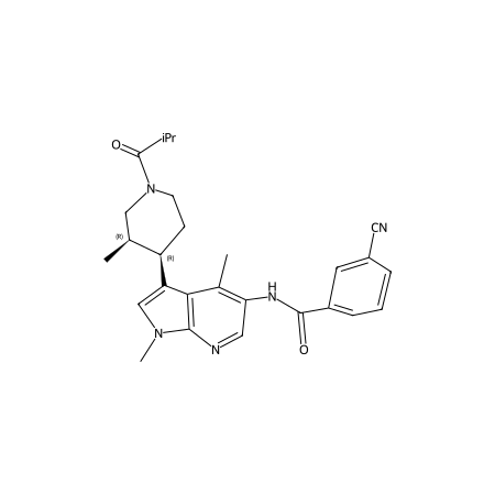 Cc1c(NC(=O)c2cccc(C#N)c2)cnc2c1c([C@@H]1CCN(C(=O)C(C)C)C[C@@H]1C)cn2C